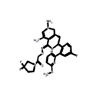 COc1cccc(-c2cc(F)ccc2C2CC3=C(C(C)=CN(N)C3)/C(=N/OCC(=O)N3CCC(F)(F)C3)N2)n1